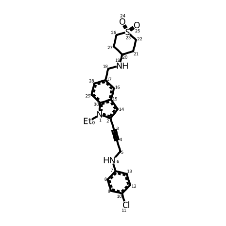 CCn1c(C#CCNc2ccc(Cl)cc2)cc2cc(CNC3CCS(=O)(=O)CC3)ccc21